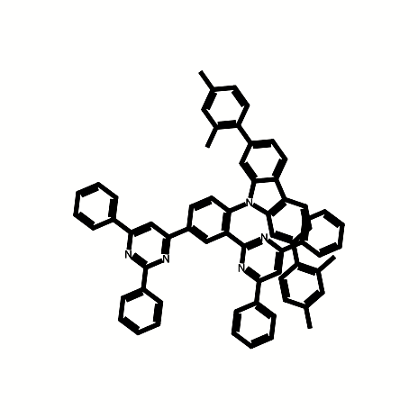 Cc1ccc(-c2ccc3c4ccc(-c5ccc(C)cc5C)cc4n(-c4ccc(-c5cc(-c6ccccc6)nc(-c6ccccc6)n5)cc4-c4nc(-c5ccccc5)cc(-c5ccccc5)n4)c3c2)c(C)c1